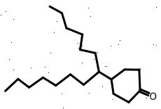 CCCCCCCC(CCCCCC)C1CCC(=O)CC1